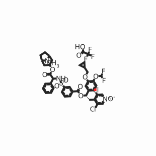 CN1C2CCC1CC(OC(=O)C(NS(=O)(=O)c1cccc(C(=O)O[C@@H](Cc3c(Cl)c[n+]([O-])cc3Cl)c3ccc(OC(F)F)c(OCC4CC4)c3)c1)c1ccccc1)C2.O=C(O)C(F)(F)F